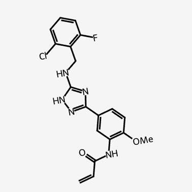 C=CC(=O)Nc1cc(-c2n[nH]c(NCc3c(F)cccc3Cl)n2)ccc1OC